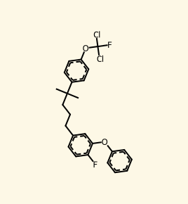 CC(C)(CCCc1ccc(F)c(Oc2ccccc2)c1)c1ccc(OC(F)(Cl)Cl)cc1